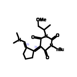 CCCCN1C(=O)/C(=C2\CCC\C2=C/N(C)C)C(=O)N(C(C)COC)C1=O